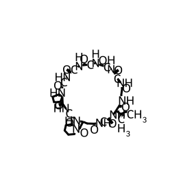 CC[C@H](C)C1NC(=O)CNC(=O)CC(C(=O)N2CCCCC2)NC(=O)CNC(=O)C2(CCCC2)NC(=O)CNC(=O)CNC(=O)CNC(=O)CNC(=O)CNC(=O)CNC1=O